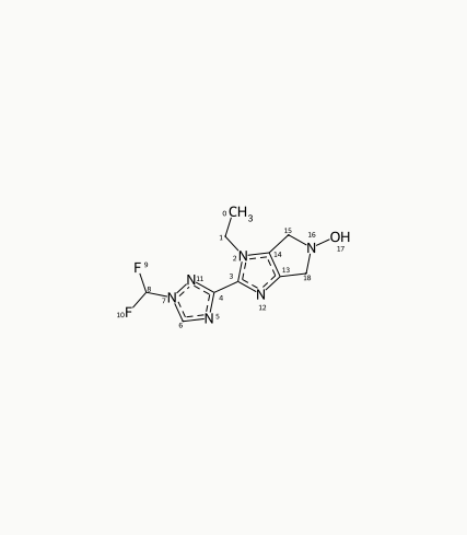 CCn1c(-c2ncn(C(F)F)n2)nc2c1CN(O)C2